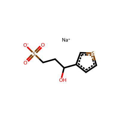 O=S(=O)([O-])CCC(O)c1ccsc1.[Na+]